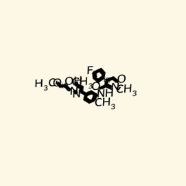 COC[C@@H](O)Cn1nc(-c2ccc(C)c(NC(=O)C3=CN(C)C(=O)C[C@H]3c3ccc(F)cc3)c2)cc1C